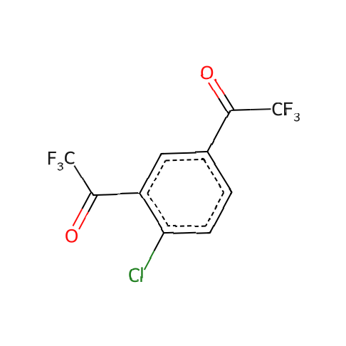 O=C(c1ccc(Cl)c(C(=O)C(F)(F)F)c1)C(F)(F)F